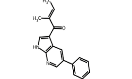 C/C=C(\C)C(=O)c1c[nH]c2ncc(-c3ccccc3)cc12